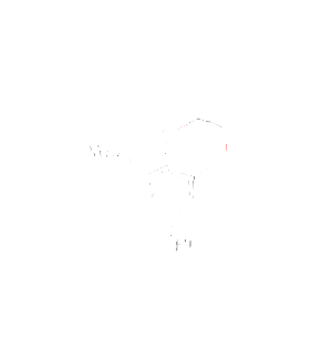 CCCc1cc(OC)c2c(c1)OCCO2